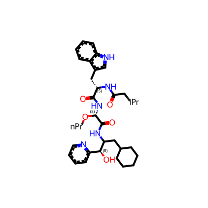 CCCO[C@H](NC(=O)[C@H](Cc1c[nH]c2ccccc12)NC(=O)CC(C)C)C(=O)NC(CC1CCCCC1)[C@@H](O)c1ccccn1